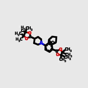 CC1(C)OB(c2ccc(N3CCC(B4OC(C)(C)C(C)(C)O4)CC3)c3c2C2CCC3CC2)OC1(C)C